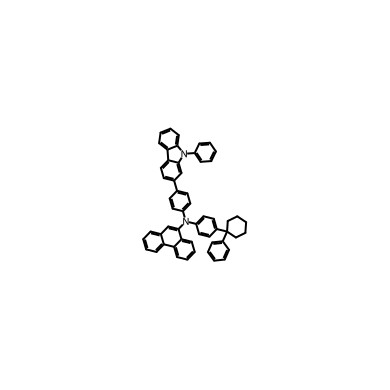 c1ccc(-n2c3ccccc3c3ccc(-c4ccc(N(c5ccc(C6(c7ccccc7)CCCCC6)cc5)c5cc6ccccc6c6ccccc56)cc4)cc32)cc1